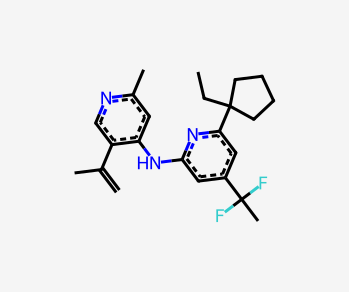 C=C(C)c1cnc(C)cc1Nc1cc(C(C)(F)F)cc(C2(CC)CCCC2)n1